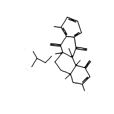 CC(=O)NC(CSC12CCC3(O)CC(C)=CC(=O)C3(O)C1(O)C(=O)c1cccc(O)c1C2=O)C(=O)O